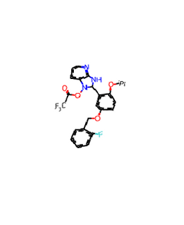 CC(C)Oc1ccc(OCc2ccccc2F)cc1C1Nc2ncccc2N1OC(=O)C(F)(F)F